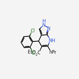 CCCC1=C(C(=O)OCC)C(c2c(Cl)cccc2Cl)c2c[nH]nc2N1